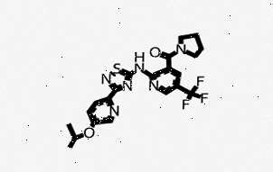 CC(C)Oc1ccc(-c2nsc(Nc3ncc(C(F)(F)F)cc3C(=O)N3CCCC3)n2)nc1